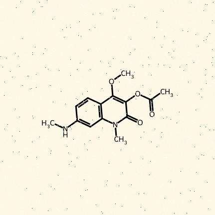 CNc1ccc2c(OC)c(OC(C)=O)c(=O)n(C)c2c1